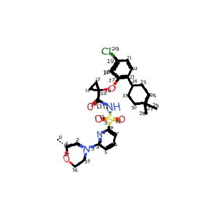 C[C@@H]1CN(c2cccc(S(=O)(=O)NC(=O)C3(Oc4cc(Cl)ccc4C4CCC(C)(C)CC4)CC3)n2)CCO1